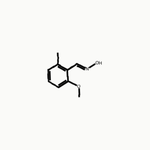 COc1cccc(C)c1C=NO